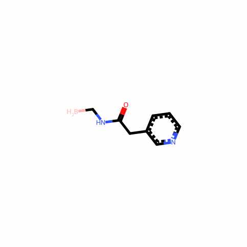 BCNC(=O)Cc1cccnc1